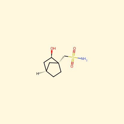 NS(=O)(=O)C[C@@]12CC[C@@H](C[C@H]1O)C2